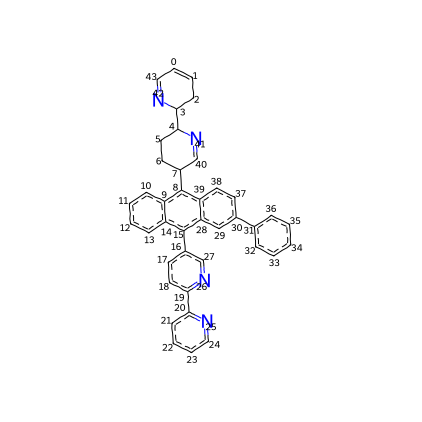 C1=CCC(C2CCC(c3c4ccccc4c(-c4ccc(-c5ccccn5)nc4)c4cc(-c5ccccc5)ccc34)C=N2)N=C1